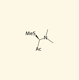 CS[C@H](C(C)=O)N(C)C